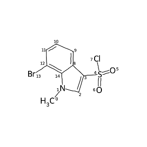 Cn1cc(S(=O)(=O)Cl)c2cccc(Br)c21